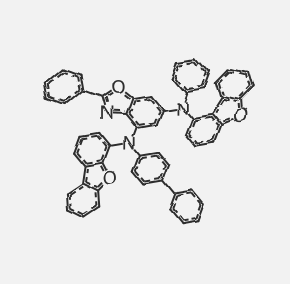 c1ccc(-c2ccc(N(c3cc(N(c4ccccc4)c4cccc5oc6ccccc6c45)cc4oc(-c5ccccc5)nc34)c3cccc4c3oc3ccccc34)cc2)cc1